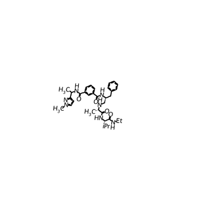 CCNC(=O)[C@@H](NC(=O)[C@H](C)NC[C@H](Cc1ccccc1)NC(=O)c1cccc(C(=O)NC(C)c2ccn(C)n2)c1)C(C)C